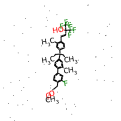 CCC(CC)(c1ccc(/C=C/C(O)(C(F)(F)F)C(F)(F)F)c(C)c1)c1ccc(-c2ccc(CCOOC)c(F)c2)c(C)c1